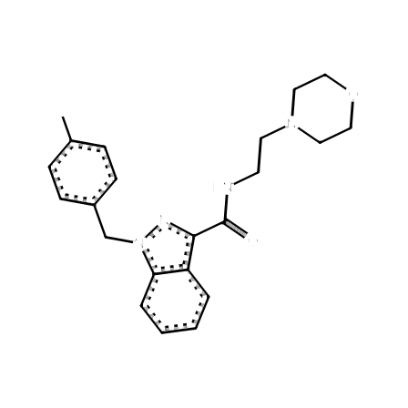 O=C(NCCN1CCOCC1)c1nn(Cc2ccc(Cl)cc2)c2ccccc12